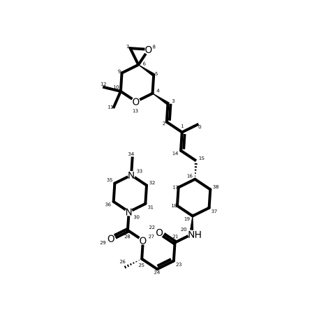 CC(/C=C/[C@@H]1C[C@]2(CO2)CC(C)(C)O1)=C\C[C@H]1CC[C@H](NC(=O)/C=C\[C@H](C)OC(=O)N2CCN(C)CC2)CC1